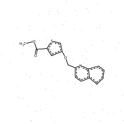 COC(=O)c1cc(OCc2ccc3ccccc3n2)cs1